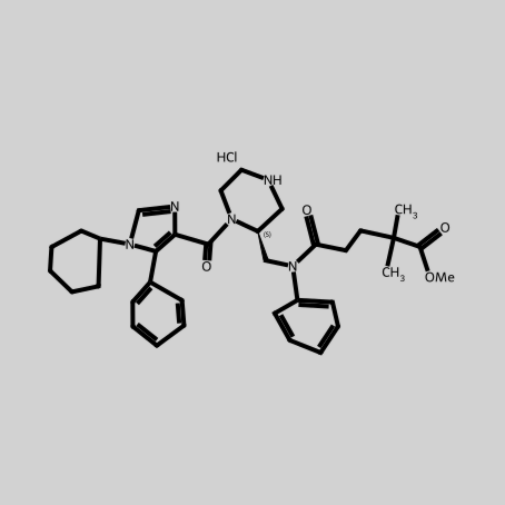 COC(=O)C(C)(C)CCC(=O)N(C[C@@H]1CNCCN1C(=O)c1ncn(C2CCCCC2)c1-c1ccccc1)c1ccccc1.Cl